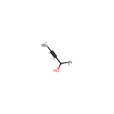 CC(C)C(O)C#CC(C)(C)C